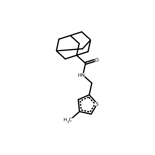 Cc1csc(CNC(=O)C23CC4CC(CC(C4)C2)C3)c1